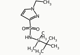 CCn1ccc(S(=O)(=O)N[Si](C)(C)C(C)(C)C)n1